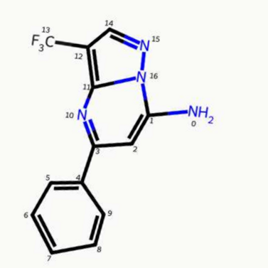 Nc1cc(-c2ccccc2)nc2c(C(F)(F)F)cnn12